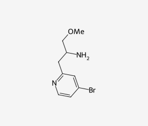 COCC(N)Cc1cc(Br)ccn1